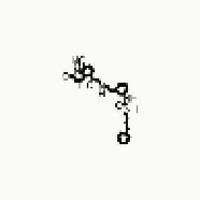 O=C(NCCCCc1ccccc1)Nc1cccc(CCNC[C@@H](O)c2ccc(O)c3[nH]c(=O)ccc23)c1